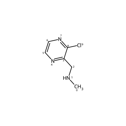 CNCc1nccnc1Cl